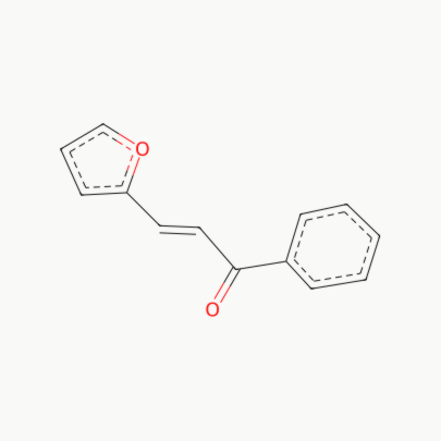 O=C(C=Cc1ccco1)c1ccccc1